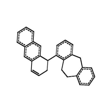 C1=Cc2cc3ccccc3cc2C(c2cccc3c2CCc2ccccc2C3)C1